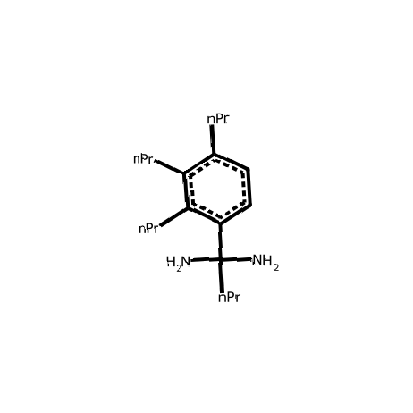 CCCc1ccc(C(N)(N)CCC)c(CCC)c1CCC